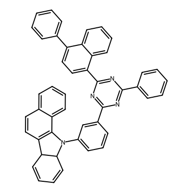 C1=CC2c3ccc4ccccc4c3N(c3cccc(-c4nc(-c5ccccc5)nc(-c5ccc(-c6ccccc6)c6ccccc56)n4)c3)C2C=C1